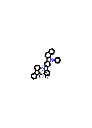 CC1(C)c2ccccc2-c2cccc(-n3c4ccccc4c4cc5c(cc43)c3ccc4ccccc4c3n5-c3ccccc3)c21